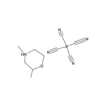 CC1C[NH+](C)CCO1.N#C[B-](C#N)(C#N)C#N